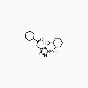 O=C([N-]c1c[n+](NC2CCCCC2O)no1)C1CCCCC1